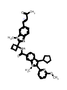 COc1cccc(-c2c(C3CCCC3)c3ccc(C(=O)NC4(c5nc6ccc(/C=C/C(C)=O)cc6n5C)CCC4)cc3n2C)n1